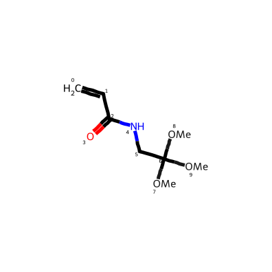 C=CC(=O)NCC(OC)(OC)OC